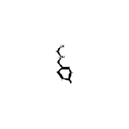 Cc1ccc(CNCC#N)cc1